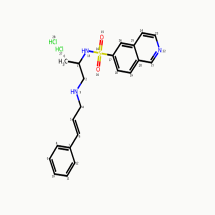 CC(CNCC=Cc1ccccc1)NS(=O)(=O)c1ccc2cnccc2c1.Cl.Cl